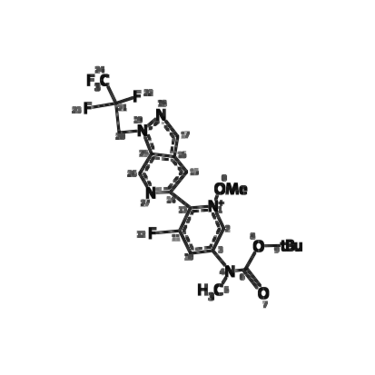 CO[n+]1cc(N(C)C(=O)OC(C)(C)C)cc(F)c1-c1cc2cnn(CC(F)(F)C(F)(F)F)c2cn1